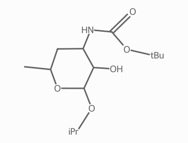 CC(C)OC1OC(C)CC(NC(=O)OC(C)(C)C)C1O